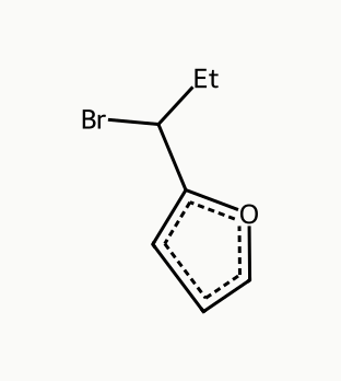 CCC(Br)c1ccco1